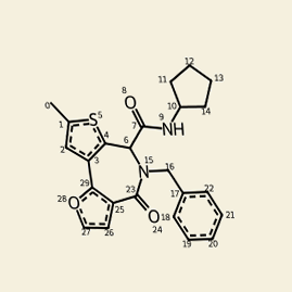 Cc1cc2c(s1)C(C(=O)NC1CCCC1)N(Cc1ccccc1)C(=O)c1ccoc1-2